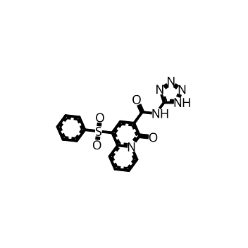 O=C(Nc1nnn[nH]1)c1cc(S(=O)(=O)c2ccccc2)c2ccccn2c1=O